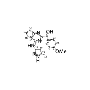 COc1ccc(C(O)c2nc(Nc3cc(C)[nH]n3)c3cccn3n2)cc1